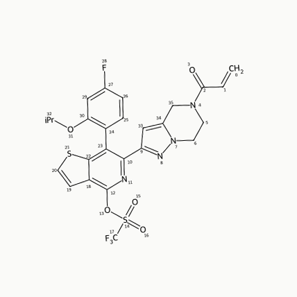 C=CC(=O)N1CCn2nc(-c3nc(OS(=O)(=O)C(F)(F)F)c4ccsc4c3-c3ccc(F)cc3OC(C)C)cc2C1